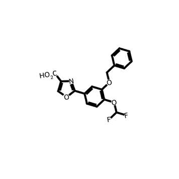 O=C(O)c1coc(-c2ccc(OC(F)F)c(OCc3ccccc3)c2)n1